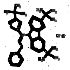 CC(C)(C)C1=CC[C](/[Zr+2](=[CH]/Cc2ccccc2)[CH]2c3ccc(C(C)(C)C)cc3-c3cc(C(C)(C)C)ccc32)=C1.[Cl-].[Cl-]